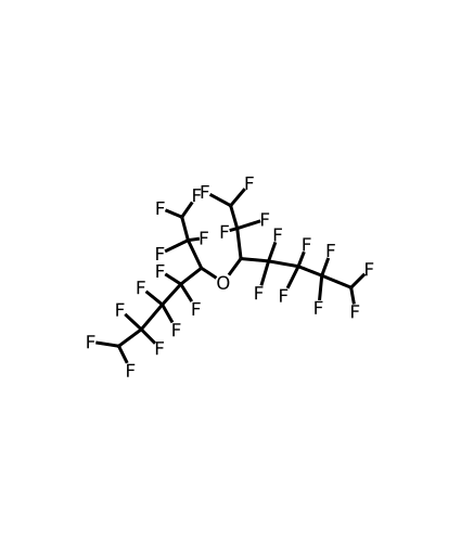 FC(F)C(F)(F)C(OC(C(F)(F)C(F)F)C(F)(F)C(F)(F)C(F)(F)C(F)F)C(F)(F)C(F)(F)C(F)(F)C(F)F